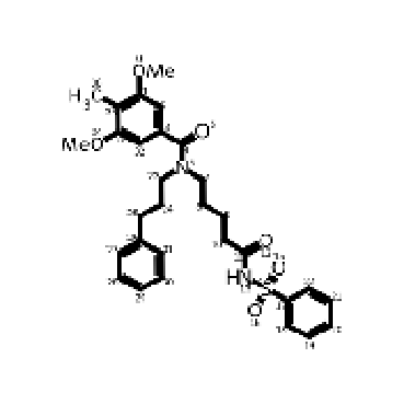 COc1cc(C(=O)N(CCCCC(=O)NS(=O)(=O)c2ccccc2)CCCc2ccccc2)cc(OC)c1C